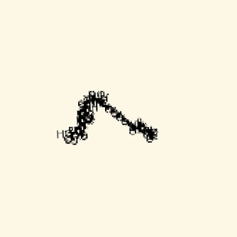 CC[C@@]1(O)C(=O)OCc2c1cc1n(c2=O)Cc2c-1nc1ccc(NC(=O)[C@H](C)NC(=O)[C@@H](NC(=O)CCOCOCOCOCCNC(=O)c3cc4sc(S(C)(=O)=O)nc4cc3F)C(C)C)c3c1c2CCO3